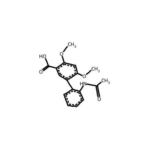 COc1cc(OC)c(-c2ccccc2NC(C)=O)cc1C(=O)O